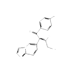 N=C(/C(=C(\N)CO)c1ccc2nccn2c1)c1ccc(F)cc1